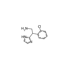 NCC(c1ncc[nH]1)c1ccccc1Cl